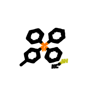 Cc1ccc([PH](c2ccccc2)(c2ccccc2)c2ccccc2)cc1.N#CS